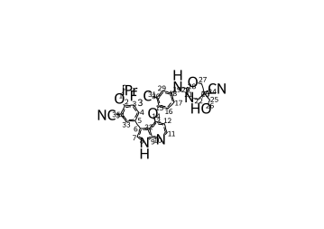 CC(C)Oc1ccc(-c2c[nH]c3nccc(Oc4ccc(NC5=NC[C@@](C#N)(CO)CO5)cc4C(F)(F)F)c23)cc1C#N